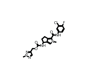 Cn1ncc(COC(=O)NC2CCc3c2cn(C)c3C(=O)Nc2ccc(F)c(Cl)c2)n1